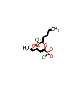 C=CC/C=C(\O/C(=C\CC=C)S(=O)(=O)Cl)S(=O)(=O)Cl